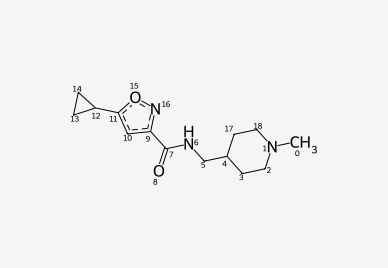 CN1CCC(CNC(=O)c2cc(C3CC3)on2)CC1